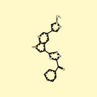 Cn1cc(-c2cnc3[nH]cc(-c4nnc(C(=O)c5ccccc5)o4)c3c2)cn1